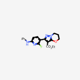 CCOC(=O)c1c(-c2ccc(NC(C)C)nc2F)nn2c1OCCC2